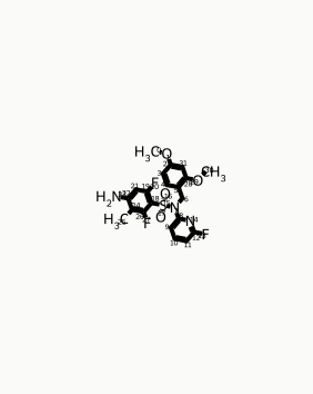 COc1ccc(CN(c2cccc(F)n2)S(=O)(=O)c2c(F)cc(N)c(C)c2F)c(OC)c1